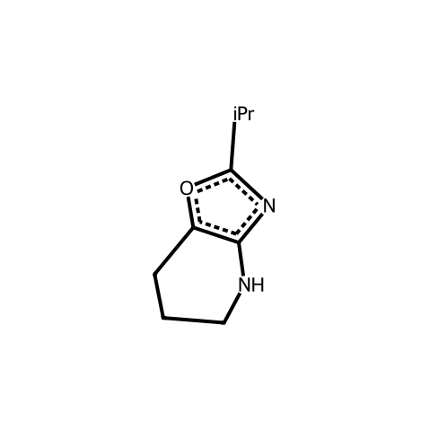 CC(C)c1nc2c(o1)CCCN2